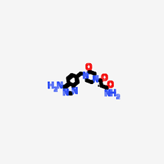 NC(=O)[CH]C(=O)N1CCN(Cc2ccc3c(N)ncnc3c2)C(=O)C1